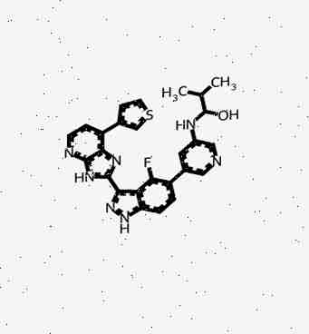 CC(C)C(O)Nc1cncc(-c2ccc3[nH]nc(-c4nc5c(-c6ccsc6)ccnc5[nH]4)c3c2F)c1